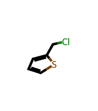 ClCc1cccs1